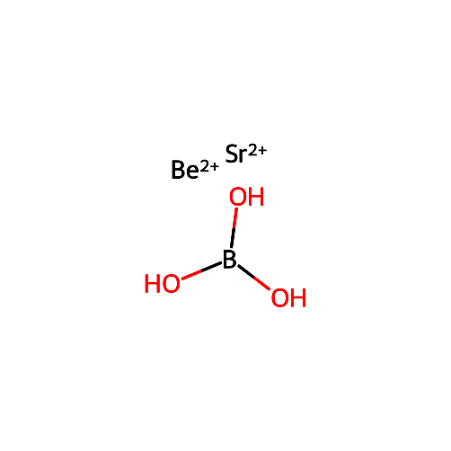 OB(O)O.[Be+2].[Sr+2]